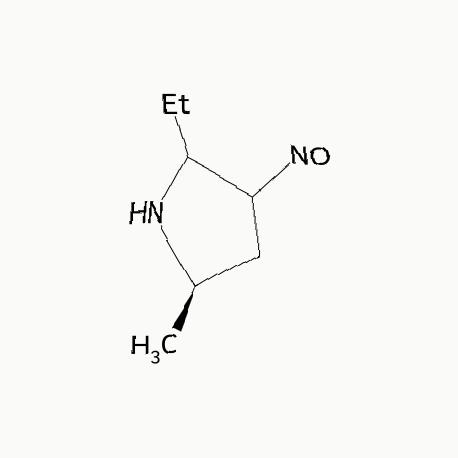 CCC1N[C@H](C)CC1N=O